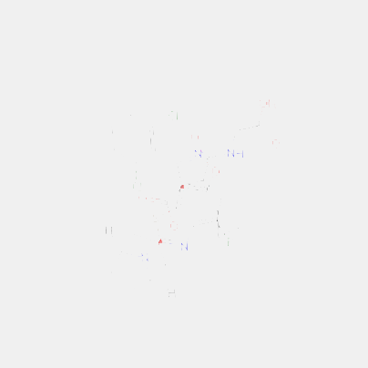 O=C(O)CNC(=O)c1cc(F)c2nc(N3[C@@H]4CC[C@H]3CC(OC(=O)c3c(-c5c(Cl)cccc5Cl)noc3C3CC3)C4)sc2c1